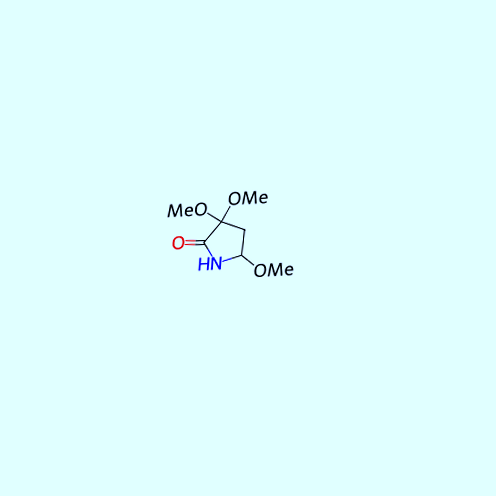 COC1CC(OC)(OC)C(=O)N1